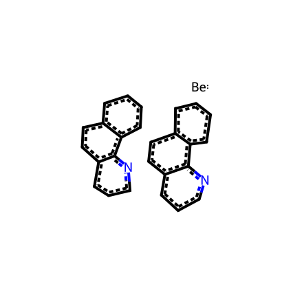 [Be].c1ccc2c(c1)ccc1cccnc12.c1ccc2c(c1)ccc1cccnc12